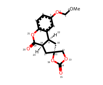 COCOc1ccc2c(c1)[C@H]1C[C@@]3(COC(=O)O3)C[C@H]1C(=O)O2